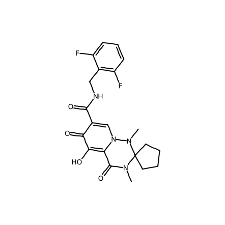 CN1C(=O)c2c(O)c(=O)c(C(=O)NCc3c(F)cccc3F)cn2N(C)C12CCCC2